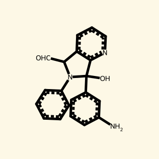 Nc1cccc(C2(O)c3ncccc3C(C=O)N2c2ccccc2)c1